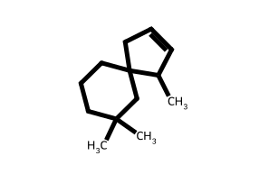 CC1C=CCC12CCCC(C)(C)C2